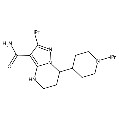 CC(C)c1nn2c(c1C(N)=O)NCCC2C1CCN(C(C)C)CC1